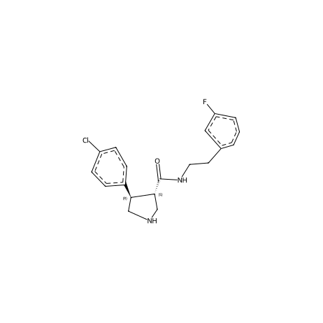 O=C(NCCc1cccc(F)c1)[C@@H]1CNC[C@H]1c1ccc(Cl)cc1